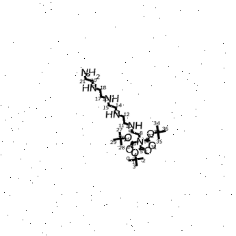 CC(C)(C)OC(=O)[N+](CCNCCNCCNCCNCCN)(C(=O)OC(C)(C)C)C(=O)OC(C)(C)C